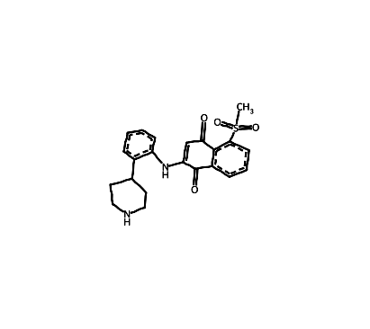 CS(=O)(=O)c1cccc2c1C(=O)C=C(Nc1ccccc1C1CCNCC1)C2=O